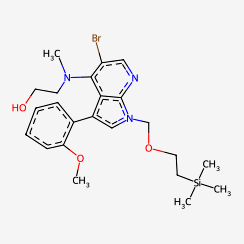 COc1ccccc1-c1cn(COCC[Si](C)(C)C)c2ncc(Br)c(N(C)CCO)c12